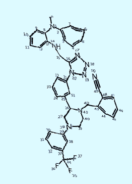 CN(c1ccccc1)c1ccccc1NCc1nnnn1-c1cccc(C2CN(c3cccc(C(F)(F)F)c3)CCN2Cc2ccccc2C#N)c1